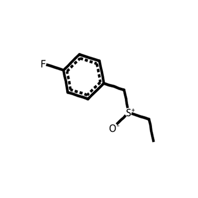 CC[S+]([O-])Cc1ccc(F)cc1